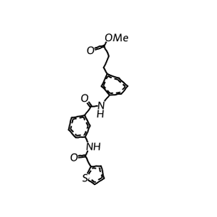 COC(=O)CCc1cccc(NC(=O)c2cccc(NC(=O)c3cccs3)c2)c1